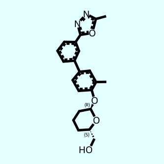 Cc1nnc(-c2cccc(-c3ccc(O[C@@H]4CCC[C@@H](CO)O4)c(C)c3)c2)o1